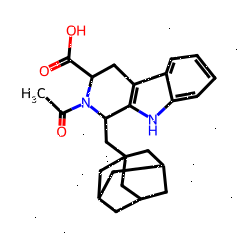 CC(=O)N1C(C(=O)O)Cc2c([nH]c3ccccc23)C1CC12CC3CC(CC(C3)C1)C2